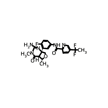 C[C@H]1OC[C@]2(c3cc(NC(=O)c4ccc(C(C)(F)F)cn4)ccc3F)N=C(N)N(C)C(=O)[C@H]12